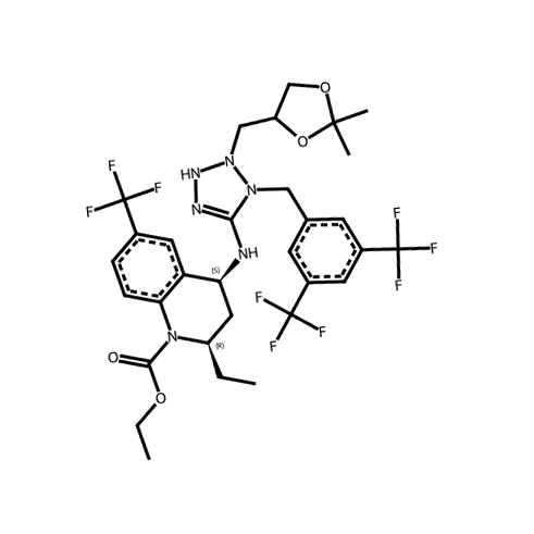 CCOC(=O)N1c2ccc(C(F)(F)F)cc2[C@@H](NC2=NNN(CC3COC(C)(C)O3)N2Cc2cc(C(F)(F)F)cc(C(F)(F)F)c2)C[C@H]1CC